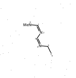 CN/C=N\C=N/CI